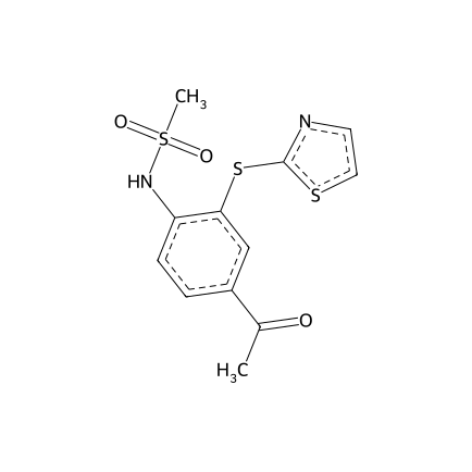 CC(=O)c1ccc(NS(C)(=O)=O)c(Sc2nccs2)c1